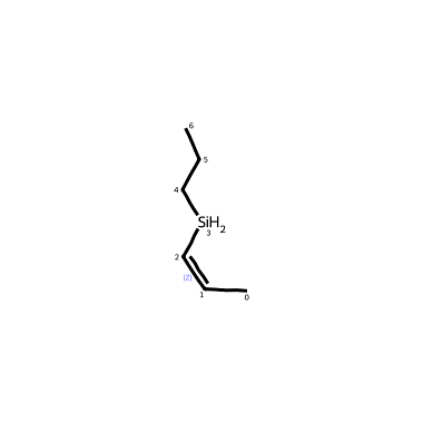 C/C=C\[SiH2]CCC